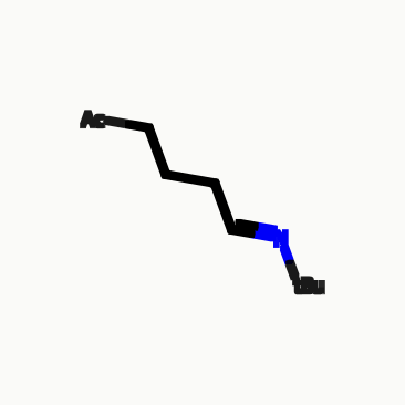 CC(=O)CCCC=NC(C)(C)C